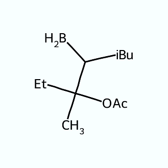 BC(C(C)CC)C(C)(CC)OC(C)=O